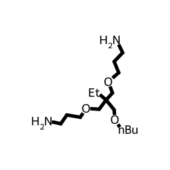 CCCCOCC(CC)(COCCCN)COCCCN